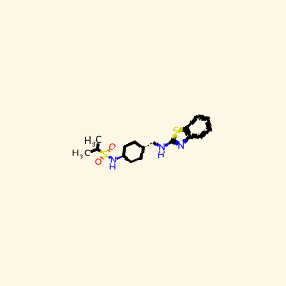 CC(C)S(=O)(=O)N[C@H]1CC[C@H](CNc2nc3ccccc3s2)CC1